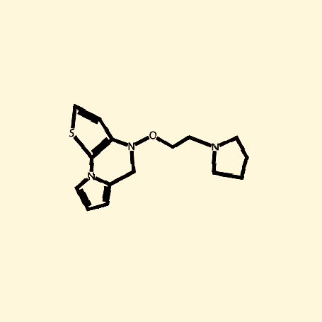 c1cc2n(c1)-c1sccc1N(OCCN1CCCC1)C2